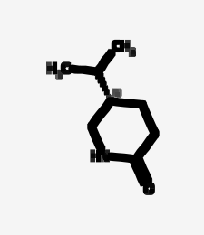 CC(C)[C@@H]1CCC(=O)NC1